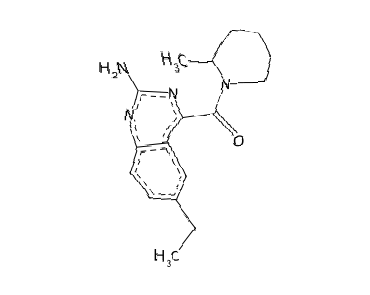 CCc1ccc2nc(N)nc(C(=O)N3CCCCC3C)c2c1